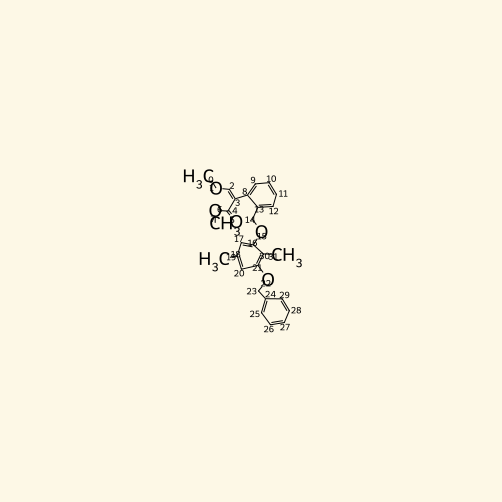 COC=C(C(=O)OC)c1ccccc1COc1cc(C)cc(OCc2ccccc2)c1C